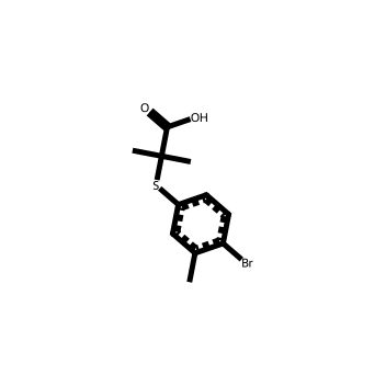 Cc1cc(SC(C)(C)C(=O)O)ccc1Br